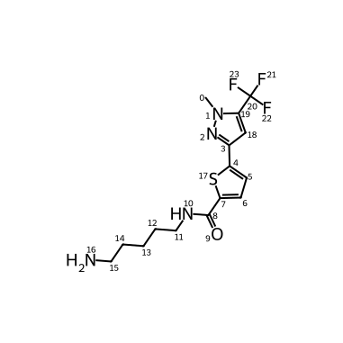 Cn1nc(-c2ccc(C(=O)NCCCCCN)s2)cc1C(F)(F)F